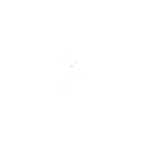 C=C1C[C@@H](c2nc3ccc(Cl)c(C)c3[nH]2)N(N2[C]=C(c3cccc(C)c3)SC2C)C1